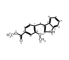 COC(=O)c1ccc(Cc2c[nH]c3ccccc23)c(OC)c1